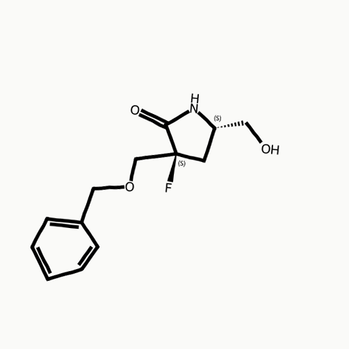 O=C1N[C@H](CO)C[C@]1(F)COCc1ccccc1